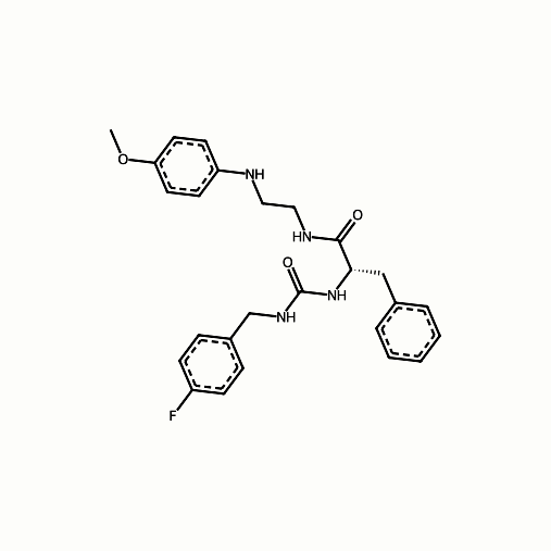 COc1ccc(NCCNC(=O)[C@H](Cc2ccccc2)NC(=O)NCc2ccc(F)cc2)cc1